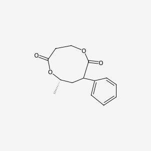 C[C@H]1CC(c2ccccc2)C(=O)OCCC(=O)O1